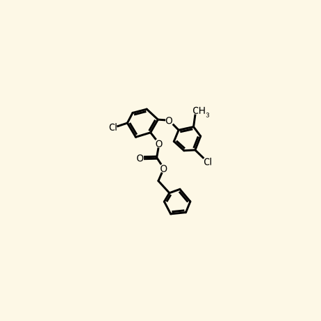 Cc1cc(Cl)ccc1Oc1ccc(Cl)cc1OC(=O)OCc1ccccc1